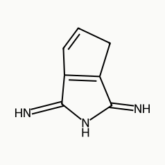 N=C1NC(=N)C2=C1C=CC2